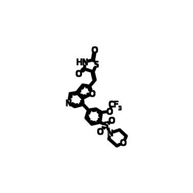 O=C1NC(=O)/C(=C\c2cc3cncc(-c4ccc(S(=O)(=O)N5CCOCC5)c(OC(F)(F)F)c4)c3o2)S1